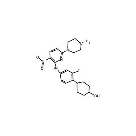 CN1CCN(c2ccc([N+](=O)[O-])c(Nc3ccc(N4CCC(O)CC4)c(F)c3)n2)CC1